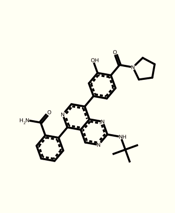 CC(C)(C)Nc1ncc2c(-c3ccccc3C(N)=O)ncc(-c3ccc(C(=O)N4CCCC4)c(O)c3)c2n1